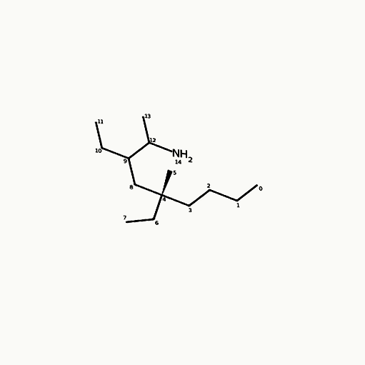 CCCC[C@](C)(CC)CC(CC)C(C)N